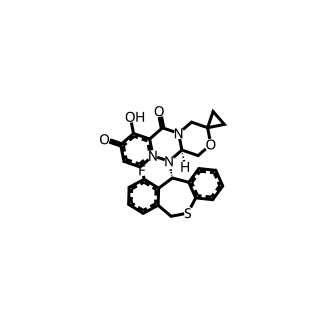 O=C1c2c(O)c(=O)ccn2N([C@@H]2c3ccccc3SCc3cccc(F)c32)[C@@H]2COC3(CC3)CN12